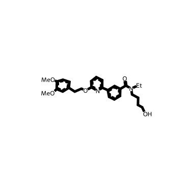 CCN(CCCCO)C(=O)c1cccc(-c2cccc(OCCc3ccc(OC)c(OC)c3)n2)c1